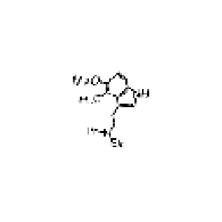 CCN(CCc1c[nH]c2ccc(OC)c(C)c12)C(C)C